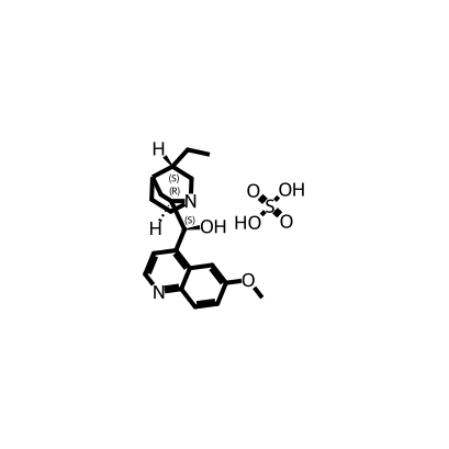 CC[C@@H]1CN2CCC1C[C@@H]2[C@@H](O)c1ccnc2ccc(OC)cc12.O=S(=O)(O)O